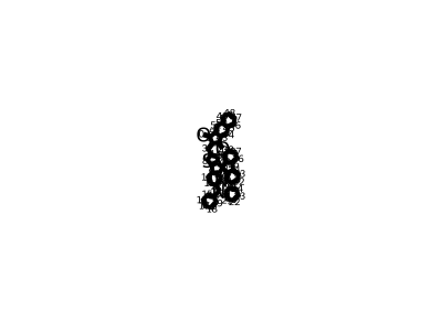 O=C1C(=Cc2cc3c(s2)-c2ccc(N(c4ccccc4)c4ccccc4)nc2C32c3ccccc3-c3ccccc32)C(=O)c2cc3ccccc3cc21